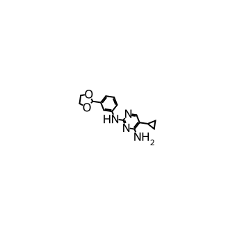 Nc1nc(Nc2cccc(C3OCCO3)c2)ncc1C1CC1